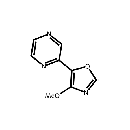 COc1n[c]oc1-c1cnccn1